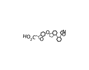 O=C(O)C[C@@H]1COc2cc(O[C@@H]3CCc4c(-c5ccccc5-c5ccno5)cccc43)ccc21